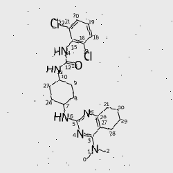 CN(C)c1nc(NC2CCC(NC(=O)Nc3c(Cl)cccc3Cl)CC2)nc2c1CCCC2